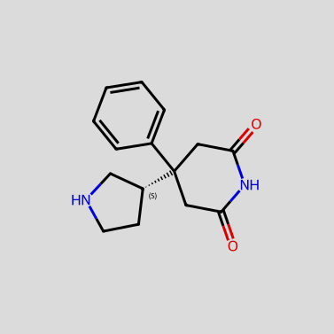 O=C1CC(c2ccccc2)([C@@H]2CCNC2)CC(=O)N1